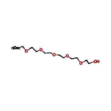 CCCCCCCCCCCOCCOCCOCCOCCOCCO